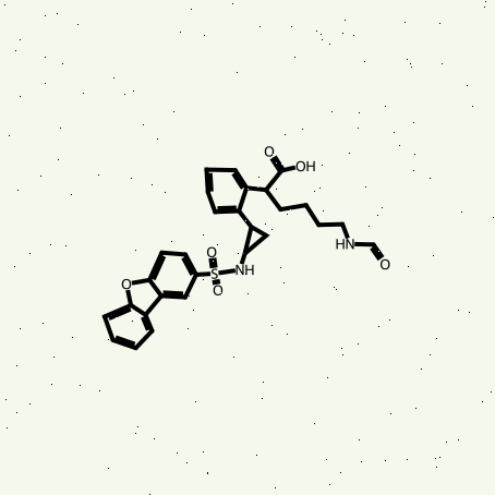 O=CNCCCCC(C(=O)O)c1ccccc1C1CC1NS(=O)(=O)c1ccc2oc3ccccc3c2c1